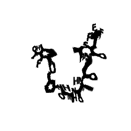 Cc1ccc(OCc2cccc(NC(=O)[C@H](C)NC(=O)[C@H](C)NC(=O)CCNC(=O)C(CC(F)(F)F)SC(C)C)c2)c(F)c1[C@@H](C)O